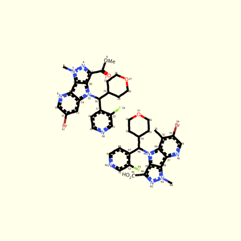 COC(=O)c1nn(C)c2c3ncc(Br)cc3n(C(c3ccncc3F)C3CCOCC3)c12.Cc1c(Br)cnc2c3c(c(C(=O)O)nn3C)n(C(c3ccncc3F)C3CCOCC3)c12